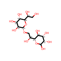 OC[C@H](O)[C@H]1O[C@H](OC[C@H](O)[C@H]2OC(O)[C@@H](O)[C@@H](O)[C@@H]2O)[C@@H](O)[C@@H](O)[C@@H]1O